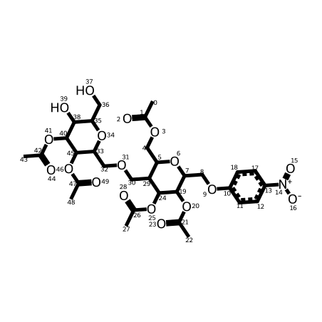 CC(=O)OCC1OC(COc2ccc([N+](=O)[O-])cc2)C(OC(C)=O)C(OC(C)=O)C1COCC1OC(CO)C(O)C(OC(C)=O)C1OC(C)=O